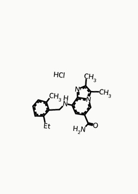 CCc1cccc(C)c1CNc1cc(C(N)=O)cn2c(C)c(C)nc12.Cl